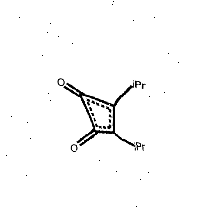 CC(C)c1c(C(C)C)c(=O)c1=O